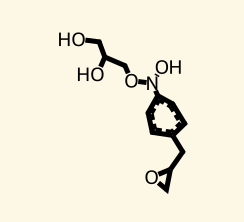 OCC(O)CON(O)c1ccc(CC2CO2)cc1